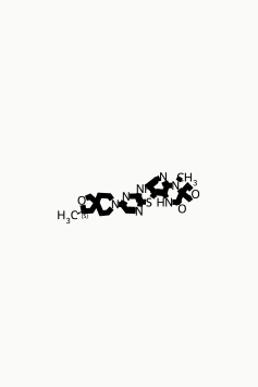 C[C@H]1CC2(CCN(c3cnc(Sc4ccnc5c4NC(=O)C4(COC4)N5C)c(N)n3)CC2)CO1